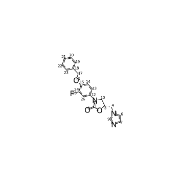 O=C1O[C@@H](Cn2ccnc2)CN1c1ccc(OCc2ccccc2)c(F)c1